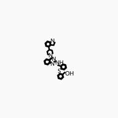 OCc1ccccc1Sc1ccccc1CNc1nc(N2CCC(c3cccc4c3CC=N4)CC2)c2ccccc2n1